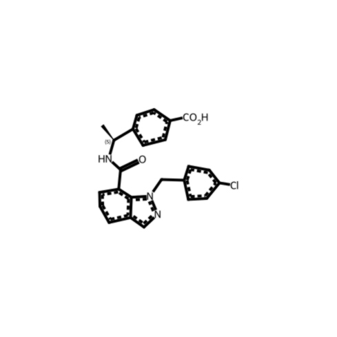 C[C@H](NC(=O)c1cccc2cnn(Cc3ccc(Cl)cc3)c12)c1ccc(C(=O)O)cc1